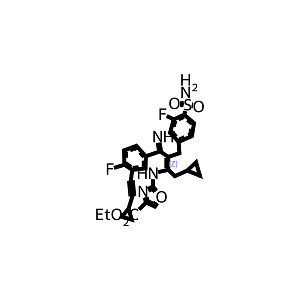 CCOC(=O)c1coc(N/C(CC2CC2)=C(/Cc2ccc(S(N)(=O)=O)c(F)c2)C(=N)c2ccc(F)c(C#CC3CC3)c2)n1